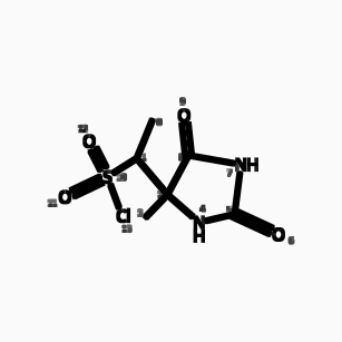 CC(C1(C)NC(=O)NC1=O)S(=O)(=O)Cl